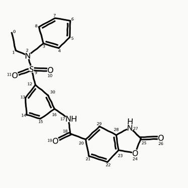 CCN(c1ccccc1)S(=O)(=O)c1cccc(NC(=O)c2ccc3oc(=O)[nH]c3c2)c1